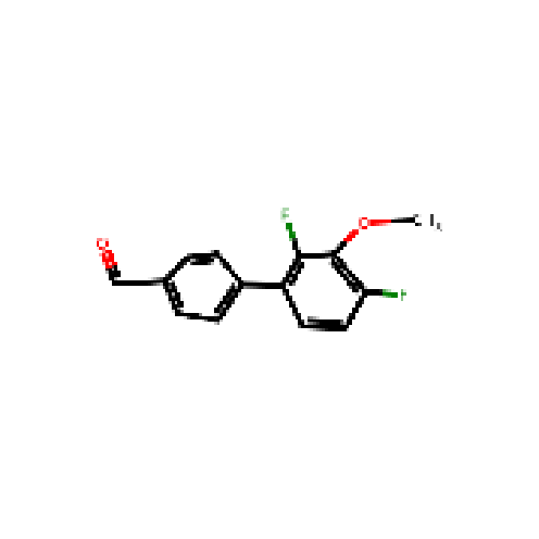 COc1c(F)ccc(-c2ccc(C=O)cc2)c1F